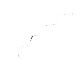 CN(C)CCNC(=O)[C@@H]1C[C@@H](F)CN1.Cl.Cl